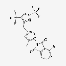 Cc1cc(Cn2nc(C(F)(F)F)cc2C(F)(F)F)ccc1N1C(=O)c2cccc(Br)c2C1=O